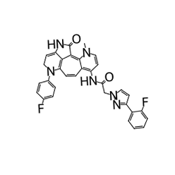 CN1C=CC(NC(=O)Cn2ccc(-c3ccccc3F)n2)=c2ccc3c4c([nH]c(=O)c-4c21)=CCN3c1ccc(F)cc1